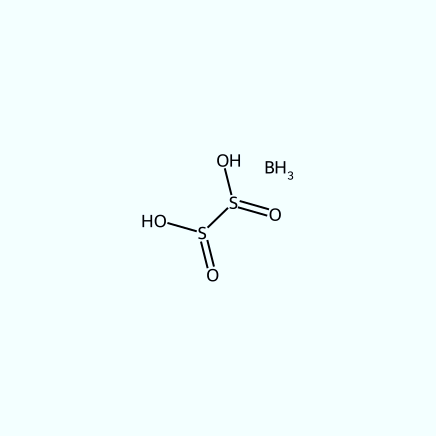 B.O=S(O)S(=O)O